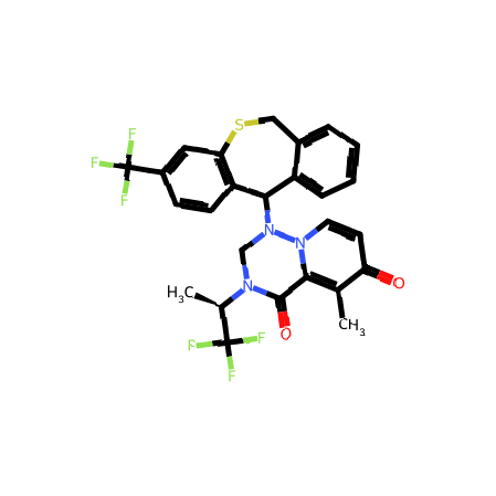 Cc1c2n(ccc1=O)N(C1c3ccccc3CSc3cc(C(F)(F)F)ccc31)CN([C@H](C)C(F)(F)F)C2=O